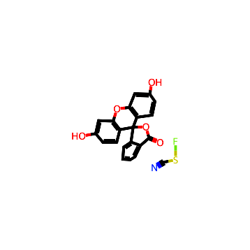 N#CSF.O=C1OC2(c3ccc(O)cc3Oc3cc(O)ccc32)c2ccccc21